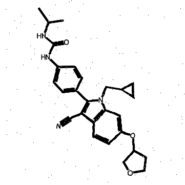 CC(C)NC(=O)Nc1ccc(-c2c(C#N)c3ccc(OC4CCOC4)cc3n2CC2CC2)cc1